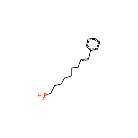 PCCCCCCCC=Cc1ccccc1